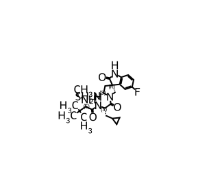 CSN[C@H](C(=O)N[C@@H](CC1CC1)C(=O)N1C[C@]2(C[C@H]1N)C(=O)Nc1ccc(F)cc12)C(C)(C)C